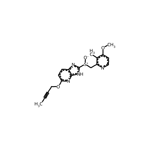 CC#CCOc1ccc2nc([S+]([O-])Cc3nccc(OC)c3C)[nH]c2n1